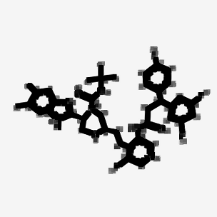 Cc1cc2nc([C@@H]3CO[C@H](CCc4c(F)cncc4NC(=O)CC(c4ccc(F)cc4)c4cc(F)cc(F)c4)CN3C(=O)OC(C)(C)C)[nH]c2cc1C